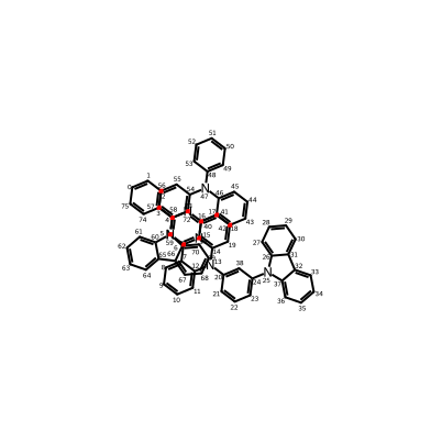 c1ccc(-c2nc(-c3ccccc3N(c3ccccc3)c3cccc(-n4c5ccccc5c5ccccc54)c3)nc(-c3ccccc3N(c3ccccc3)c3cccc(-n4c5ccccc5c5ccccc54)c3)n2)cc1